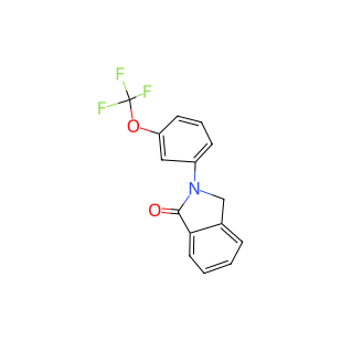 O=C1c2ccccc2CN1c1cccc(OC(F)(F)F)c1